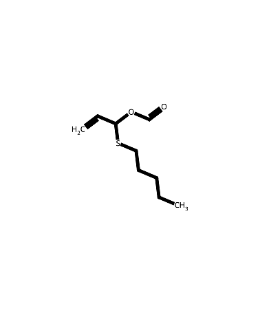 C=CC(O[C]=O)SCCCCC